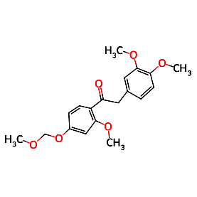 COCOc1ccc(C(=O)Cc2ccc(OC)c(OC)c2)c(OC)c1